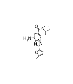 Cc1ccc(-c2nc3c(N)cc(C(=O)N4CCCC4C)cn3n2)o1